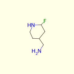 NCC1CCNC(F)C1